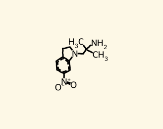 CC(C)(N)CN1CCc2ccc([N+](=O)[O-])cc21